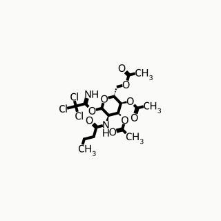 CCCC(=O)N[C@H]1C(OC(=N)C(Cl)(Cl)Cl)O[C@H](COC(C)=O)[C@@H](OC(C)=O)[C@@H]1OC(C)=O